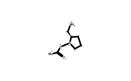 CC(C)(C)C(=O)ON1CCC[C@@H]1CN